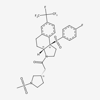 CS(=O)(=O)N1CC[C@@H](CC(=O)N2CC[C@@]3(S(=O)(=O)c4ccc(F)cc4)c4ccc(C(F)(C(F)(F)F)C(F)(F)F)cc4CC[C@@H]23)C1